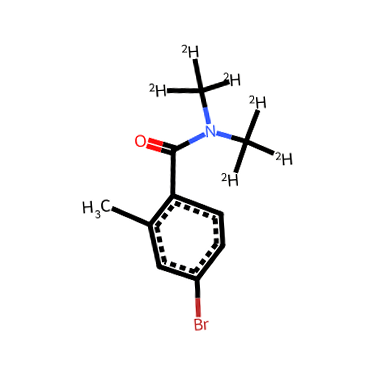 [2H]C([2H])([2H])N(C(=O)c1ccc(Br)cc1C)C([2H])([2H])[2H]